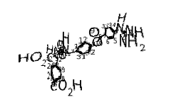 N=C(N)Nc1ccc(C(=O)Oc2ccc(CNS(=O)(=O)NC(Cc3ccc(C(=O)O)cc3)C(=O)O)cc2)cc1